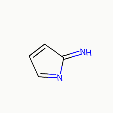 N=C1C=CC=N1